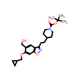 CC(C)(C)OC(=O)N1CCC(CCc2noc3cc(OCC4CC4)c(CO)cc23)CC1